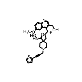 COc1ccc2ncc(CO)c([C@H](F)CCC3(C(=O)NO)CCN(CC#Cc4cccs4)CC3)c2c1